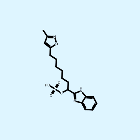 Cc1cc(CCCCCCC(OS(=O)(=O)O)c2nc3ccccc3[nH]2)on1